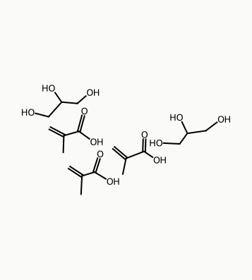 C=C(C)C(=O)O.C=C(C)C(=O)O.C=C(C)C(=O)O.OCC(O)CO.OCC(O)CO